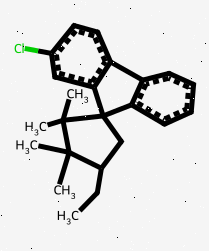 CCC1CC2(c3ccccc3-c3ccc(Cl)cc32)C(C)(C)C1(C)C